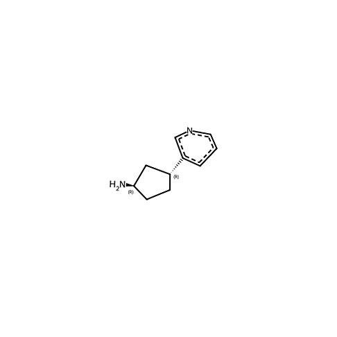 N[C@@H]1CC[C@@H](c2cccnc2)C1